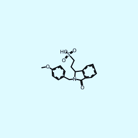 COc1ccc(CN2C(=O)c3ccccc3C2CCS(=O)(=O)O)cc1